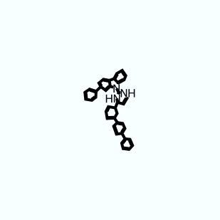 C1=CC(C2C=CNC(n3c4ccccc4c4ccc(-c5ccccc5)cc43)N2)CC(c2ccc(-c3ccccc3)cc2)=C1